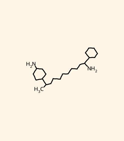 CC(CCCCCCCCC(N)C1CCCCC1)C1CCC(N)CC1